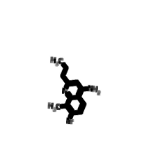 CCCc1cc(N)c2ccc(Br)c(C)c2n1